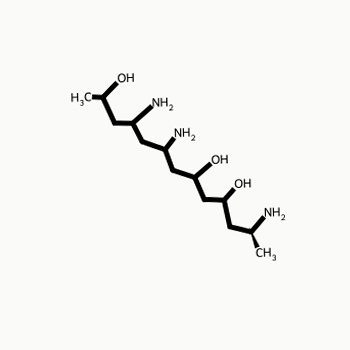 CC(O)CC(N)CC(N)CC(O)CC(O)C[C@H](C)N